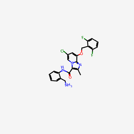 Cc1nc2c(OCc3c(F)cccc3F)cc(Cl)cn2c1C(=O)Nc1ccccc1CN